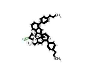 CCCc1ccc(-c2cccc3c2C=C(CC)[CH]3[Zr+2]2([CH]3C(CC)=Cc4c(-c5ccc(CCC)cc5)cccc43)[CH2]C[CH2]2)cc1.[Cl-].[Cl-]